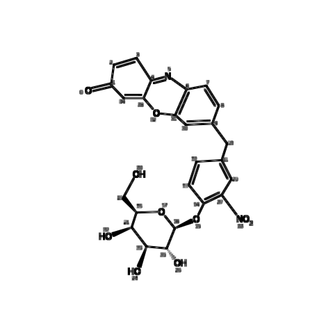 O=c1ccc2nc3ccc(Cc4ccc(O[C@@H]5O[C@H](CO)[C@H](O)[C@H](O)[C@H]5O)c([N+](=O)[O-])c4)cc3oc-2c1